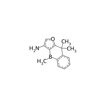 CB1c2ccccc2C(C)(C)c2occ(N)c21